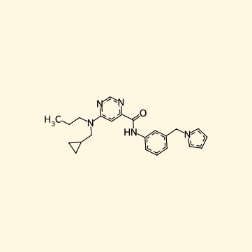 CCCN(CC1CC1)c1cc(C(=O)Nc2cccc(Cn3cccc3)c2)ncn1